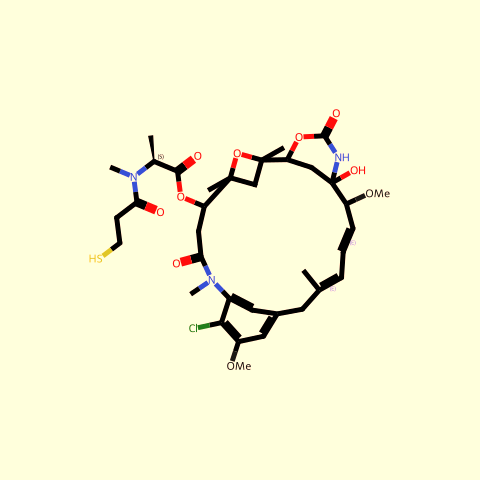 COc1cc2cc(c1Cl)N(C)C(=O)CC(OC(=O)[C@H](C)N(C)C(=O)CCS)C1(C)CC(C)(O1)C1CC(O)(NC(=O)O1)C(OC)/C=C/C=C(\C)C2